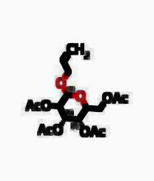 C=CCO[C@H]1OC(COC(C)=O)[C@H](OC(C)=O)[C@H](OC(C)=O)C1OC(C)=O